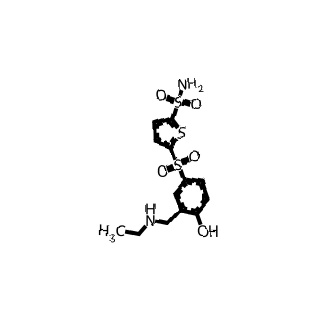 CCNCc1cc(S(=O)(=O)c2ccc(S(N)(=O)=O)s2)ccc1O